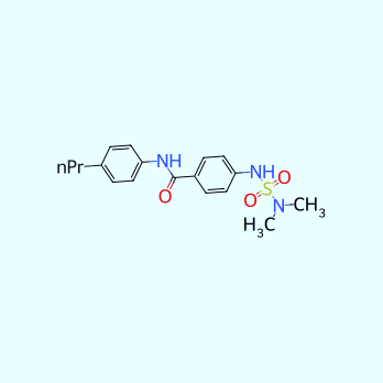 CCCc1ccc(NC(=O)c2ccc(NS(=O)(=O)N(C)C)cc2)cc1